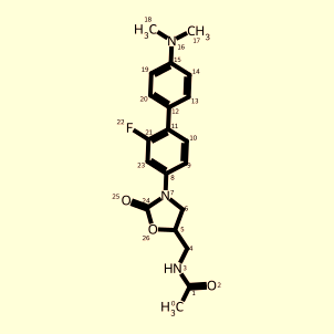 CC(=O)NCC1CN(c2ccc(-c3ccc(N(C)C)cc3)c(F)c2)C(=O)O1